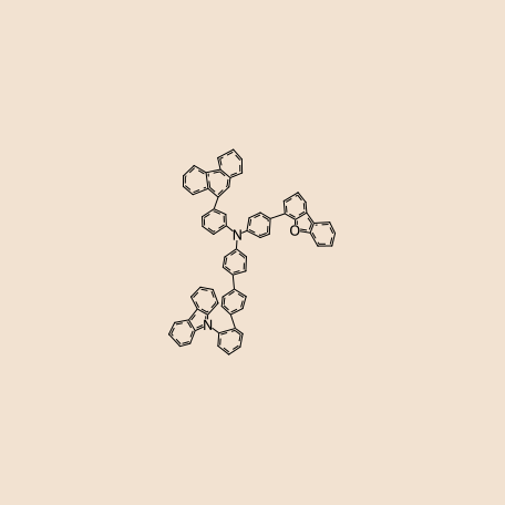 c1cc(-c2cc3ccccc3c3ccccc23)cc(N(c2ccc(-c3ccc(-c4ccccc4-n4c5ccccc5c5ccccc54)cc3)cc2)c2ccc(-c3cccc4c3oc3ccccc34)cc2)c1